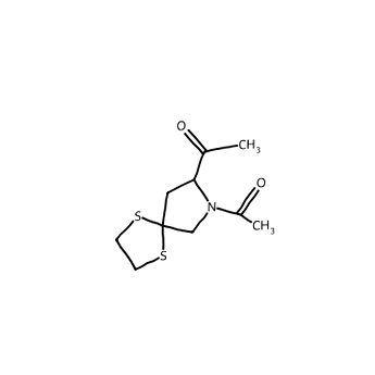 CC(=O)C1CC2(CN1C(C)=O)SCCS2